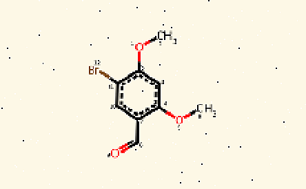 COc1cc(OC)c(C=O)cc1Br